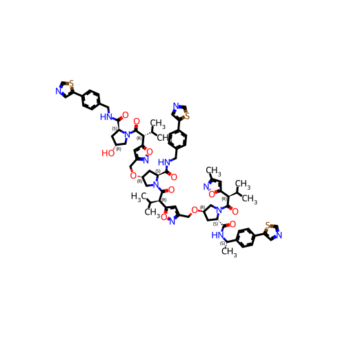 Cc1cc([C@H](C(=O)N2C[C@H](OCc3cc([C@H](C(=O)N4C[C@H](OCc5cc([C@H](C(=O)N6C[C@H](O)C[C@H]6C(=O)NCc6ccc(-c7cncs7)cc6)C(C)C)on5)C[C@H]4C(=O)NCc4ccc(-c5cncs5)cc4)C(C)C)on3)C[C@H]2C(=O)N[C@@H](C)c2ccc(-c3cncs3)cc2)C(C)C)on1